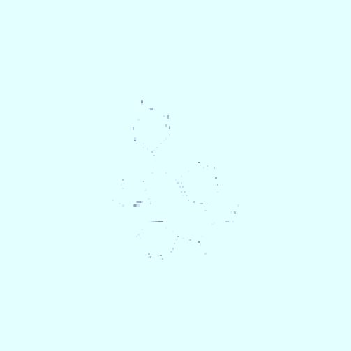 CC(c1ccccc1)n1nnc2ccc(C(c3ccc(Cl)cc3)n3cncn3)cc21